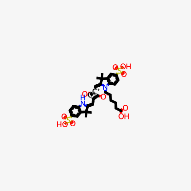 CC1(C)C(=Cc2c([O-])[c+](C=C3N(CCCCCC(=O)O)c4ccc(S(=O)(=O)O)cc4C3(C)C)[c+]2[O-])Nc2ccc(S(=O)(=O)O)cc21